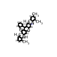 Cc1cc(C)c(/N=c2\ccc3c(-c4ccccc4C)c4ccc(Nc5c(C)cccc5C)cc4oc-3c2)c(C)c1